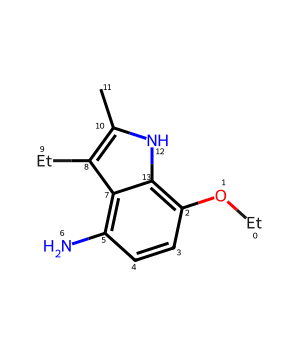 CCOc1ccc(N)c2c(CC)c(C)[nH]c12